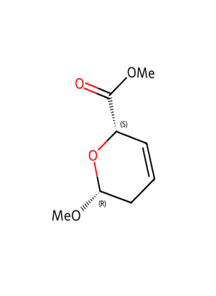 COC(=O)[C@@H]1C=CC[C@H](OC)O1